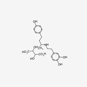 CC(CCc1ccc(O)cc1)NCCc1ccc(O)c(O)c1.O=C(O)C(O)C(O)C(=O)O